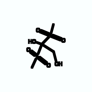 CS(=O)(=O)C(O)(CO)S(C)(=O)=O